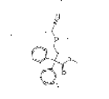 COC(=O)C(CCOCC#N)(c1ccccc1)c1ccccc1